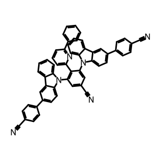 N#Cc1ccc(-c2ccc3c(c2)c2ccccc2n3-c2cc(C#N)cc(-n3c4ccccc4c4cc(-c5ccc(C#N)cc5)ccc43)c2-c2cccc(-c3ccccc3)n2)cc1